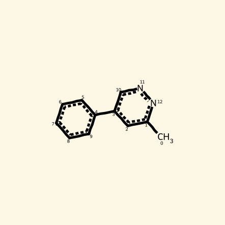 Cc1cc(-c2cc[c]cc2)cnn1